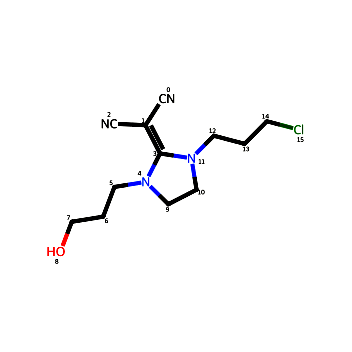 N#CC(C#N)=C1N(CCCO)CCN1CCCCl